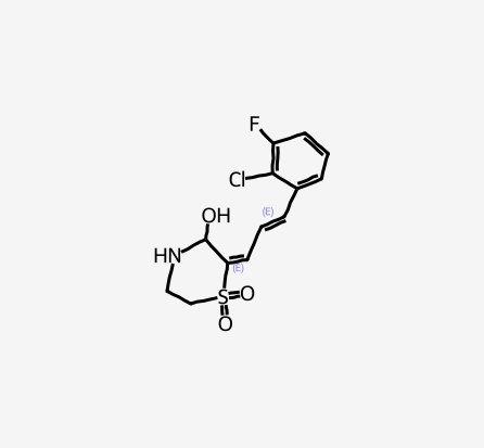 O=S1(=O)CCNC(O)/C1=C\C=C\c1cccc(F)c1Cl